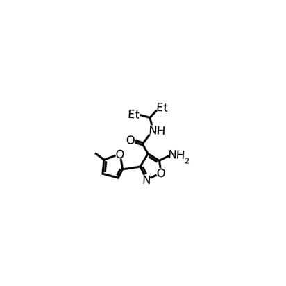 CCC(CC)NC(=O)c1c(-c2ccc(C)o2)noc1N